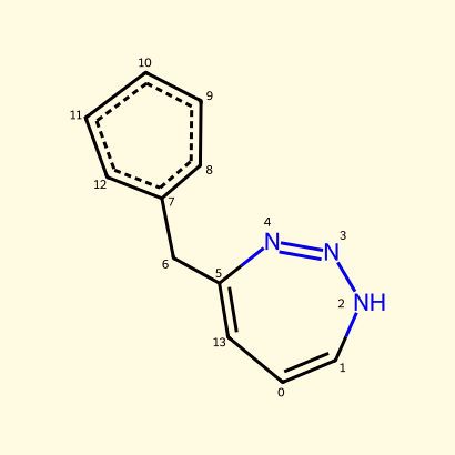 C1=CNN=NC(Cc2ccccc2)=C1